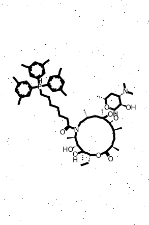 CC[C@H]1OC(=O)[C@H](C)C[C@H](C)[C@@H](O[C@@H]2O[C@H](C)C[C@H](N(C)C)[C@H]2O)[C@](C)(O)C[C@@H](C)CN(C(=O)CCCCCC[PH](c2cc(C)cc(C)c2)(c2cc(C)cc(C)c2)c2cc(C)cc(C)c2)[C@H](C)[C@@H](O)[C@]1(C)O